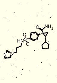 NC(=O)[C@]1(c2ccc(S(=O)(=O)NCCCn3ccnc3)cc2)C[C@H]1C1CCCC1